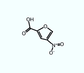 O=C(O)c1cc([N+](=O)[O-])co1